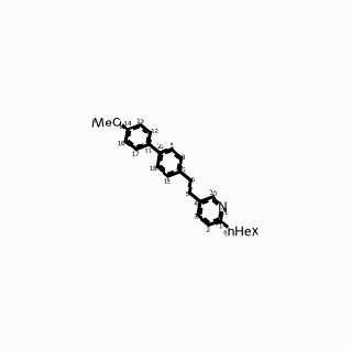 CCCCCCc1ccc(CCc2ccc(-c3ccc(OC)cc3)cc2)cn1